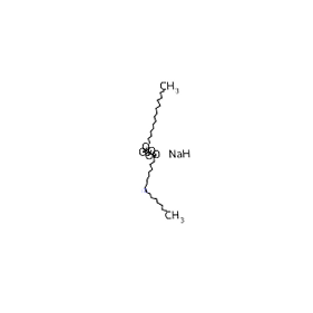 CCCCCCCC/C=C\CCCCCCCC(=O)OS(=O)(=O)OCCCCCCCCCCCCCCCC.[NaH]